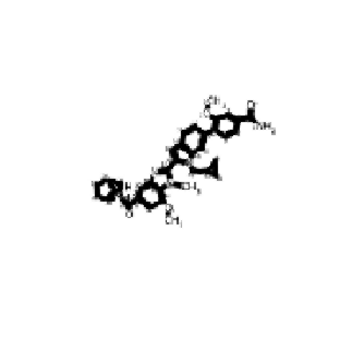 COc1cc(C(N)=O)ccc1-c1ccc2cc(-c3nc4cc(C(=O)N5CC6CCC5[C@@H]6N)cc(OC)c4n3C)n(CC3CC3)c2c1